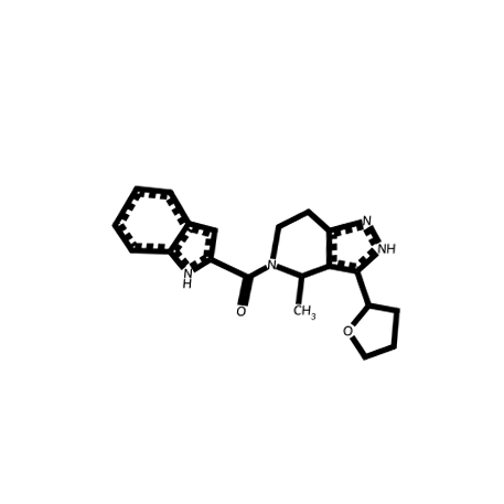 CC1c2c(n[nH]c2C2CCCO2)CCN1C(=O)c1cc2ccccc2[nH]1